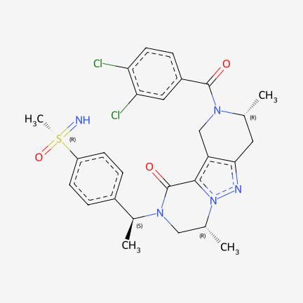 C[C@@H]1Cc2nn3c(c2CN1C(=O)c1ccc(Cl)c(Cl)c1)C(=O)N([C@@H](C)c1ccc([S@](C)(=N)=O)cc1)C[C@H]3C